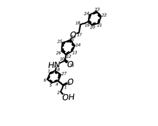 O=C(CO)c1cccc(NC(=O)c2ccc(OCCc3ccccc3)cc2)c1